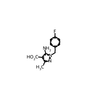 Cc1nn(Cc2ccc(F)cc2)c(N)c1C(=O)O